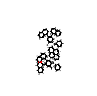 Fc1cc(-c2cccc3ccccc23)c(-c2cccc3ccccc23)cc1N(c1ccccc1)c1ccc2ccc3c(N(c4ccccc4)c4cc(-c5cccc6ccccc56)c(-c5cccc6ccccc56)cc4F)ccc4ccc1c2c43